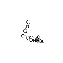 CCCCOC(=O)CC1Cc2cc(C(=O)c3ccc(C=NN4CCCCC4)cc3)ccc2OC1N